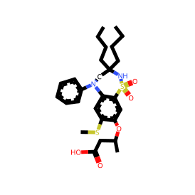 CCCCC1(CCCC)CN(c2ccccc2)c2cc(SC)c(OC(C)CC(=O)O)cc2S(=O)(=O)N1